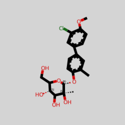 COc1ccc(-c2ccc(O[C@H]3OC(CO)[C@@H](O)C(O)[C@]3(C)O)c(C)c2)cc1Cl